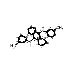 Cc1cccc(Nc2c3ccccc3c(Nc3cccc(C)c3)c3ccccc23)c1